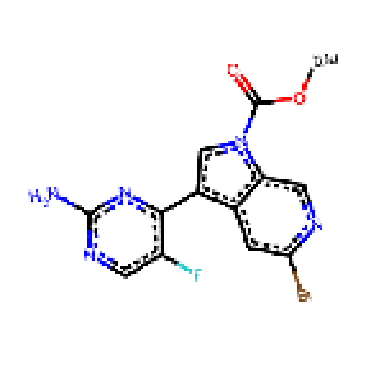 CC(C)(C)OC(=O)n1cc(-c2nc(N)ncc2F)c2cc(Br)ncc21